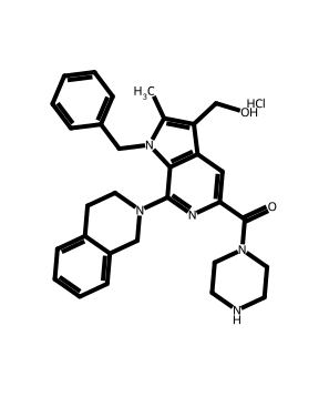 Cc1c(CO)c2cc(C(=O)N3CCNCC3)nc(N3CCc4ccccc4C3)c2n1Cc1ccccc1.Cl